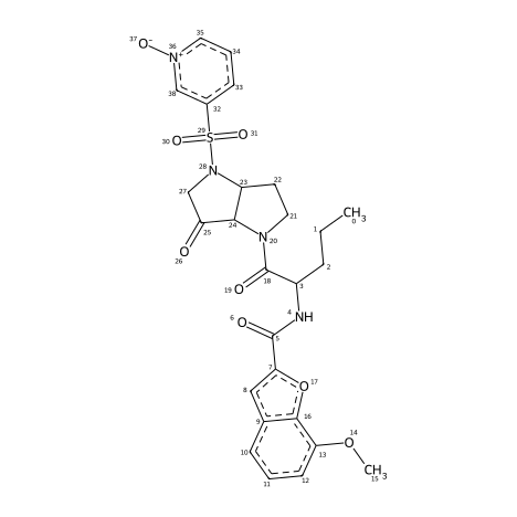 CCCC(NC(=O)c1cc2cccc(OC)c2o1)C(=O)N1CCC2C1C(=O)CN2S(=O)(=O)c1ccc[n+]([O-])c1